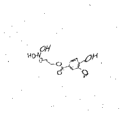 COc1cc(C(=O)OCCON(O)O)ccc1O